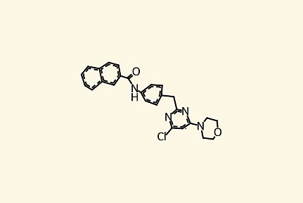 O=C(Nc1ccc(Cc2nc(Cl)[c]c(N3CCOCC3)n2)cc1)c1ccc2ccccc2c1